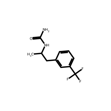 CC(Cc1cccc(C(F)(F)F)c1)NC(N)=O